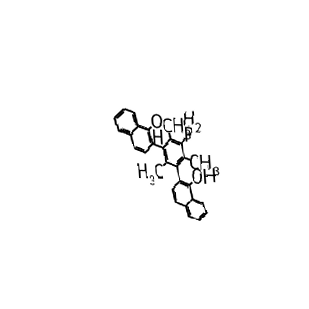 Cc1c(P)c(C)c(-c2ccc3ccccc3c2O)c(C)c1-c1ccc2ccccc2c1O